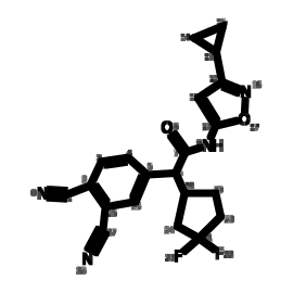 N#Cc1ccc(C(C(=O)Nc2cc(C3CC3)no2)C2CCC(F)(F)C2)cc1C#N